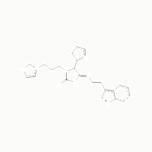 O=C1NC(=NCCc2c[nH]c3ccccc23)C(c2ccco2)N1CCCn1ccnc1